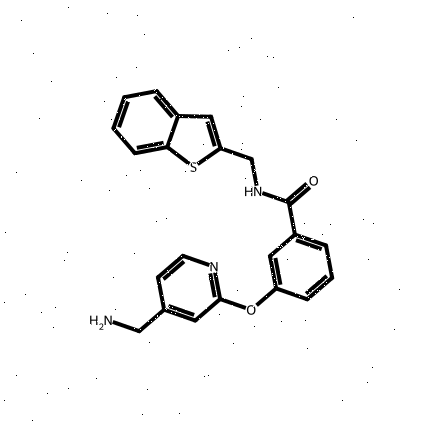 NCc1ccnc(Oc2cccc(C(=O)NCc3cc4ccccc4s3)c2)c1